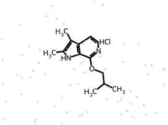 Cc1[nH]c2c(OCC(C)C)nccc2c1C.Cl